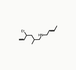 C=CC(CC)CC(C)CNC/C=C/C